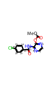 COC(=O)Oc1nccnc1NC(=O)c1ccc(Cl)cc1